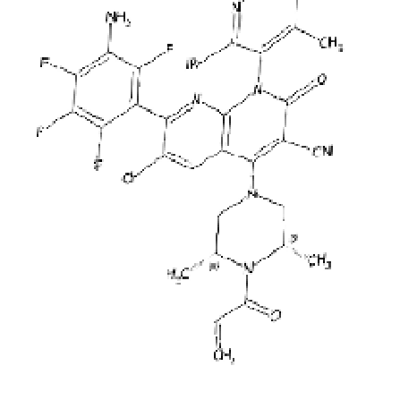 C=CC(=O)N1[C@H](C)CN(c2c(C#N)c(=O)n(-c3c(C)ccnc3C(C)C)c3nc(-c4c(F)c(N)c(F)c(F)c4F)c(Cl)cc23)C[C@@H]1C